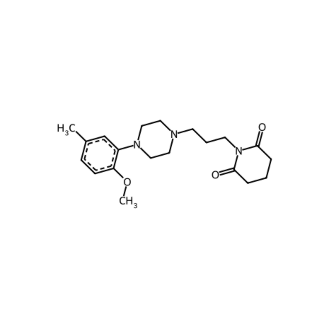 COc1ccc(C)cc1N1CCN(CCCN2C(=O)CCCC2=O)CC1